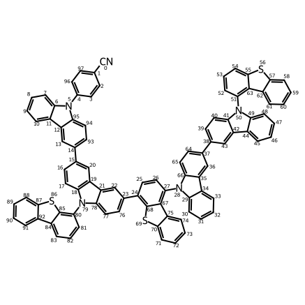 N#Cc1ccc(-n2c3ccccc3c3cc(-c4ccc5c(c4)c4cc(-c6ccc(-n7c8ccccc8c8cc(-c9ccc%10c(c9)c9ccccc9n%10-c9cccc%10sc%11ccccc%11c9%10)ccc87)c7c6sc6ccccc67)ccc4n5-c4cccc5c4sc4ccccc45)ccc32)cc1